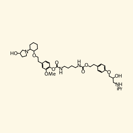 COc1cc(CCOC2CCCCC2N2CC[C@@H](O)C2)ccc1OC(=O)NCCCCNC(=O)OCCc1ccc(OCC(O)CNC(C)C)cc1